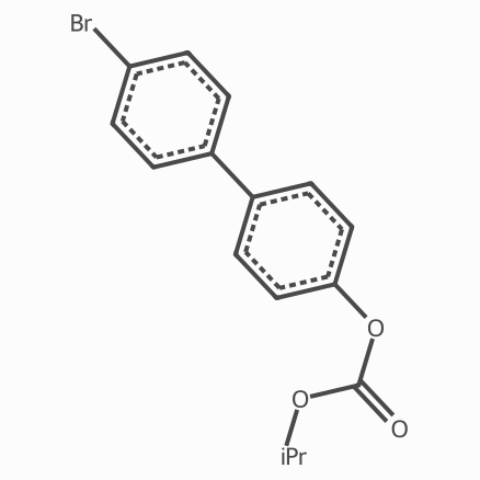 CC(C)OC(=O)Oc1ccc(-c2ccc(Br)cc2)cc1